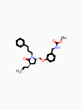 C=CC[C@@H]1C[C@@H](COc2cccc(CNC(=O)OC(C)(C)C)c2)N(CCCc2ccccc2)C1=O